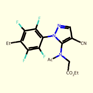 CCOC(=O)CN(C(C)=O)c1c(C#N)cnn1-c1c(F)c(F)c(CC)c(F)c1F